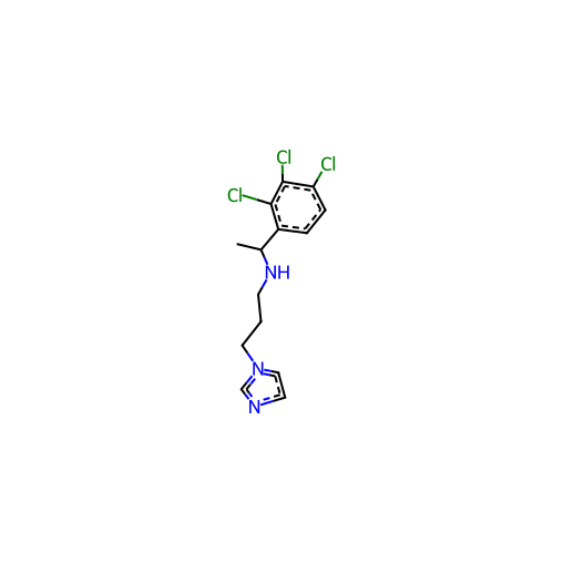 CC(NCCCn1ccnc1)c1ccc(Cl)c(Cl)c1Cl